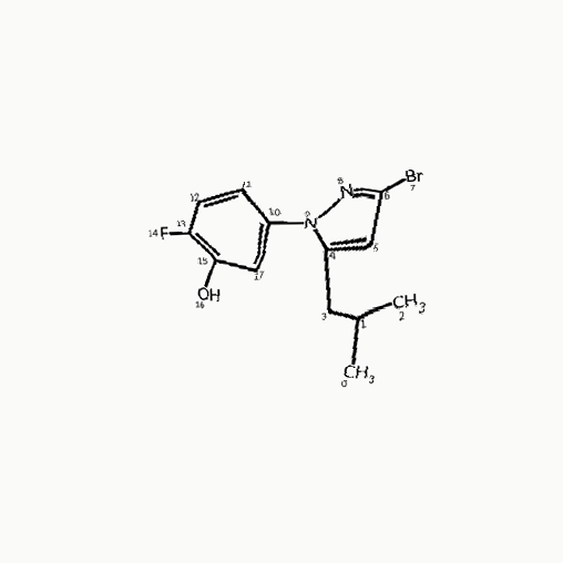 CC(C)Cc1cc(Br)nn1-c1ccc(F)c(O)c1